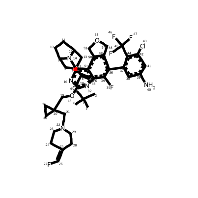 CC(C)(C)OC(=O)N1CC2CCC(C1)N2c1nc(OCC2(CN3CCC(=CF)CC3)CC2)nc2c(F)c(-c3cc(N)cc(Cl)c3C(F)(F)F)c3c(c12)COC3